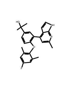 Cc1cc(-c2cc(C(C)(C)O)ccc2Oc2c(C)cc(F)cc2C)c2cc[nH]c2n1